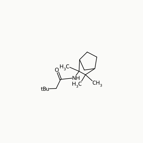 CC(C)(C)CC(=O)NC1(C)C2CCC(C2)C1(C)C